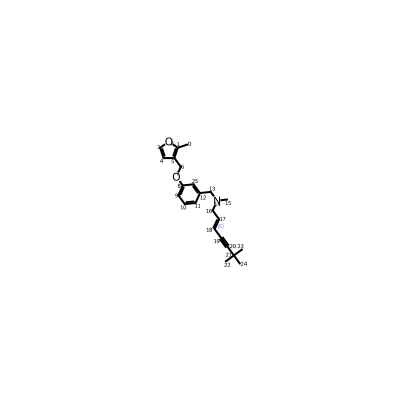 Cc1occc1COc1cccc(CN(C)C/C=C/C#CC(C)(C)C)c1